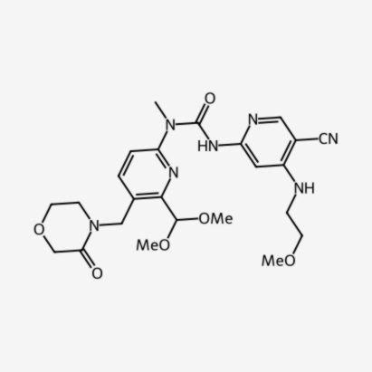 COCCNc1cc(NC(=O)N(C)c2ccc(CN3CCOCC3=O)c(C(OC)OC)n2)ncc1C#N